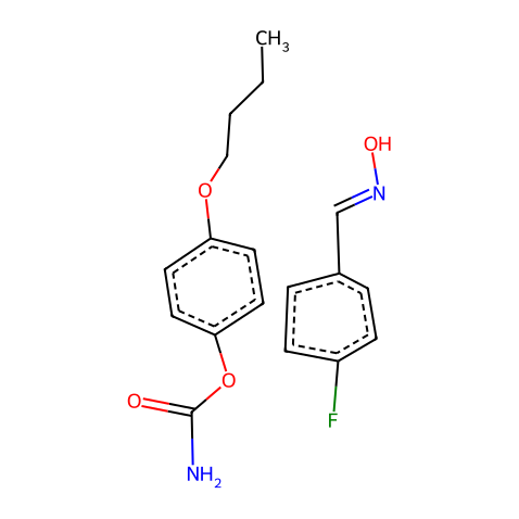 CCCCOc1ccc(OC(N)=O)cc1.ON=Cc1ccc(F)cc1